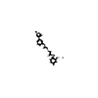 Cn1cc(-c2cccc(NC(=O)COCC(=O)Nc3ccc(Cl)cc3C(=O)O)c2)cn1